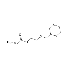 C=CC(=O)OCCSCC1CSCCS1